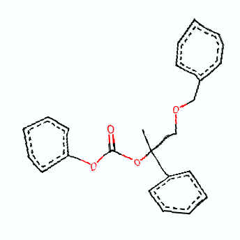 CC(COCc1ccccc1)(OC(=O)Oc1ccccc1)c1ccccc1